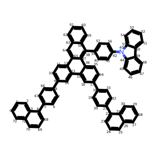 c1ccc2c(-c3ccc(-c4ccc5c(c4)c4cc(-c6ccc(-c7cccc8ccccc78)cc6)ccc4c4c(-c6ccc(-n7c8ccccc8c8ccccc87)cc6)c6ccccc6cc54)cc3)cccc2c1